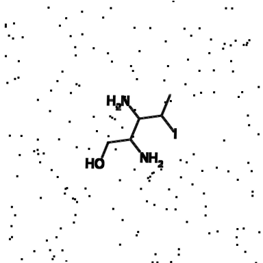 CC(I)C(N)C(N)CO